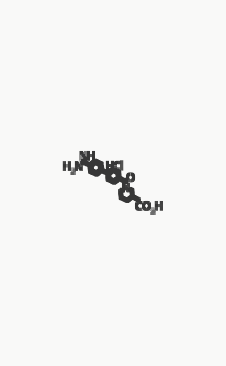 Cl.N=C(N)c1ccc(-c2ccc(C(=O)N3CCCC(CC(=O)O)C3)cc2)cc1